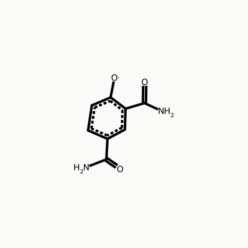 NC(=O)c1ccc([O])c(C(N)=O)c1